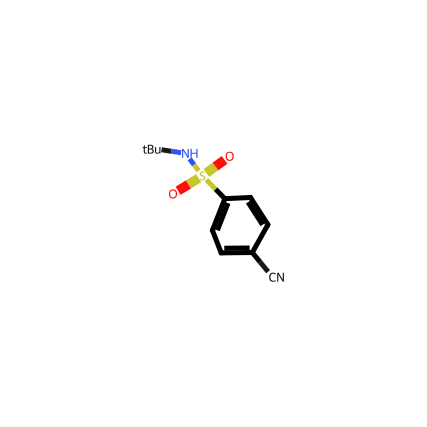 CC(C)(C)NS(=O)(=O)c1ccc(C#N)cc1